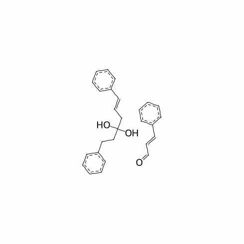 O=CC=Cc1ccccc1.OC(O)(CC=Cc1ccccc1)CCc1ccccc1